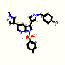 Cc1ccc(S(=O)(=O)n2cc(-c3cnn(Cc4ccc(C(C)(C)C)cc4)c3)c3cc(-c4cnn(C)c4)cnc32)cc1